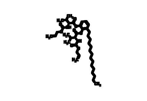 C=CCOC(=O)N[C@H](C(=O)Oc1cccc(CCCCCCCCCCCCCCC)c1OC(=O)[C@@H](NC(=O)OCC=C)C(C)C)C(C)C